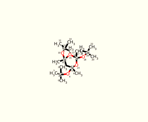 C[Si](C)(C)O[Si]1(C)C[Si](C)(O[Si](C)(C)C)O[Si](C)(O[Si](C)(C)C)O1